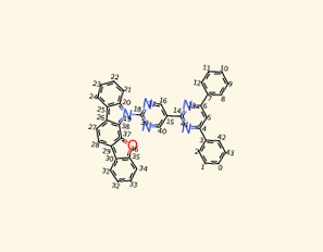 c1ccc(-c2cc(-c3ccccc3)nc(-c3cnc(-n4c5ccccc5c5ccc6c7ccccc7oc6c54)nc3)n2)cc1